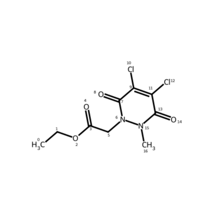 CCOC(=O)Cn1c(=O)c(Cl)c(Cl)c(=O)n1C